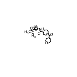 CC(C)(C)c1cc(NC(=O)N2CCCN(C(=O)N3CCCOCC3)CC2)no1